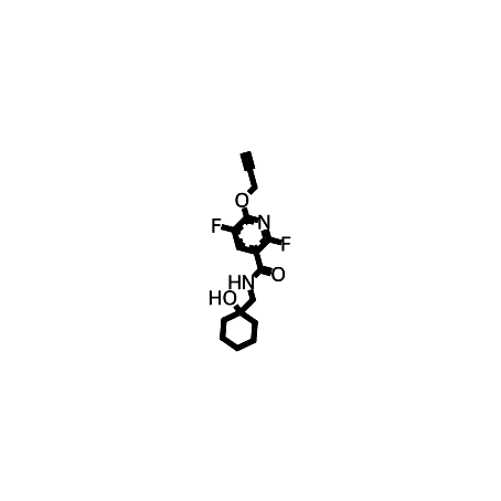 C#CCOc1nc(F)c(C(=O)NCC2(O)CCCCC2)cc1F